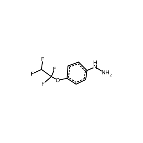 NNc1ccc(OC(F)(F)C(F)F)cc1